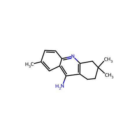 Cc1ccc2nc3c(c(N)c2c1)CCC(C)(C)C3